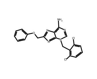 Nc1ncn(Cc2c(Cl)cccc2Cl)c2nc(COc3ccccc3)nc1-2